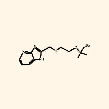 CC(C)(C)[Si](C)(C)OCCOCc1nc2ncccc2[nH]1